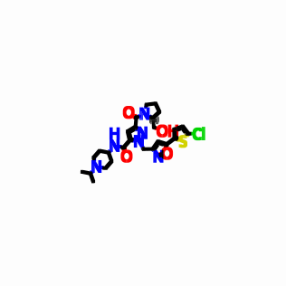 CC(C)N1CCC(NC(=O)c2cc(C(=O)N3CCC[C@H]3CO)nn2Cc2cc(-c3ccc(Cl)s3)on2)CC1